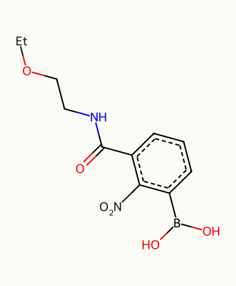 CCOCCNC(=O)c1cccc(B(O)O)c1[N+](=O)[O-]